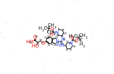 CC(C)(C)OC(=O)N1CCC[C@@H](/N=C(/N[C@@H]2CCCN(C(=O)OC(C)(C)C)C2)N2Cc3ccc(OC[C@@H](O)C(=O)O)cc3C2)C1